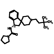 CC(C)(C)CCN1CCC2(CC1)C[C@H](NC(=O)N1CCCC1)c1ccccc12